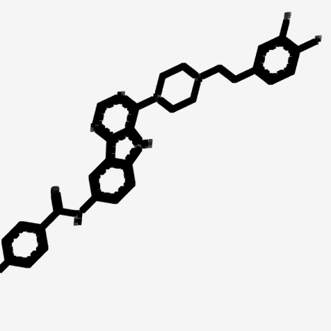 Cc1ccc(C(=O)Nc2ccc3[nH]c4c(N5CCN(CCc6ccc(F)c(F)c6)CC5)ncnc4c3c2)cc1